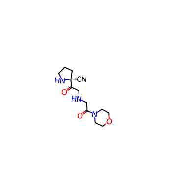 N#C[C@]1(C(=O)CNCC(=O)N2CCOCC2)CCCN1